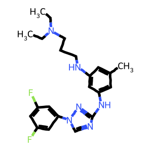 CCN(CC)CCCNc1cc(C)cc(Nc2ncn(-c3cc(F)cc(F)c3)n2)c1